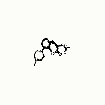 CC(=O)Nc1cc2cccc(N3CCN(C)CC3)c2oc1=O